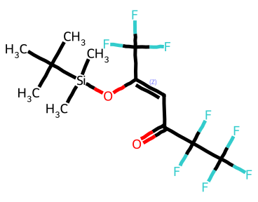 CC(C)(C)[Si](C)(C)O/C(=C\C(=O)C(F)(F)C(F)(F)F)C(F)(F)F